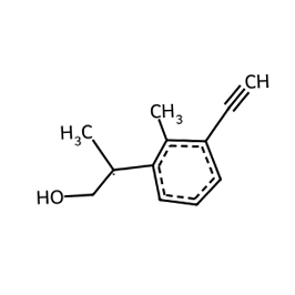 C#Cc1cccc([C](C)CO)c1C